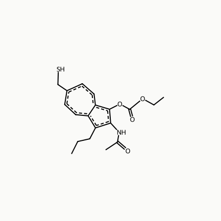 CCCc1c2ccc(CS)ccc-2c(OC(=O)OCC)c1NC(C)=O